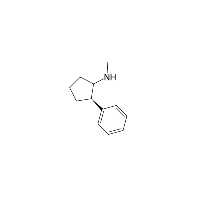 CNC1CCC[C@@H]1c1ccccc1